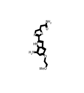 COCCOc1cc(N)c2[nH]c(C3=NCC(CC(N)=O)S3)cc2c1